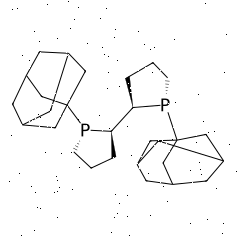 C1C[C@H]([C@H]2CCC[P@]2C23CC4CC(CC(C4)C2)C3)[P@@](C23CC4CC(CC(C4)C2)C3)C1